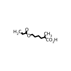 C=CC(=O)OCCCCC(C)C(=O)O